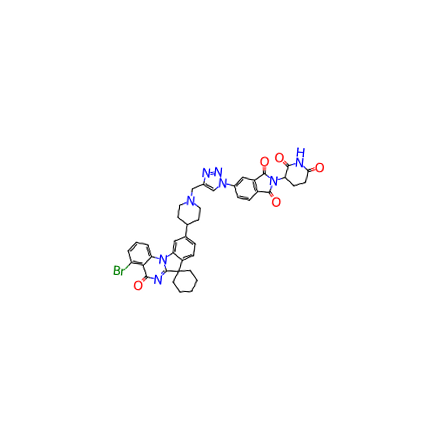 O=C1CCC(N2C(=O)c3ccc(-n4cc(CN5CCC(c6ccc7c(c6)-n6c(nc(=O)c8c(Br)cccc86)C76CCCCC6)CC5)nn4)cc3C2=O)C(=O)N1